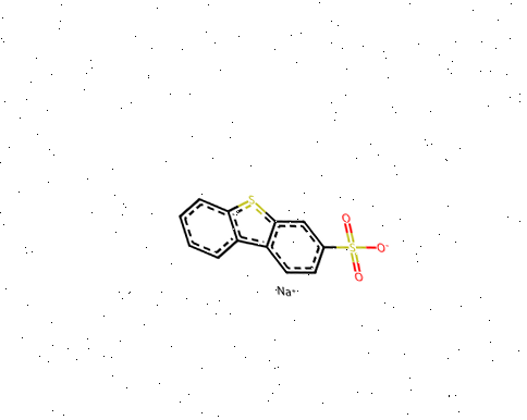 O=S(=O)([O-])c1ccc2c(c1)sc1ccccc12.[Na+]